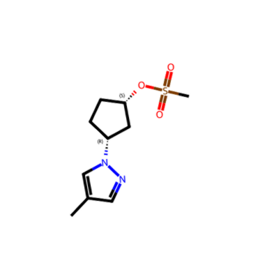 Cc1cnn([C@@H]2CC[C@H](OS(C)(=O)=O)C2)c1